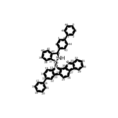 c1ccc(-c2ccc(C3NN(n4c5ccc(-c6ccccc6)cc5c5ccc6c7ccccc7sc6c54)c4ccccc43)cc2)cc1